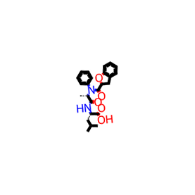 CC(C)C[C@H](NC(=O)[C@H](C)N(C(=O)C1Cc2ccccc2O1)c1ccccc1)C(=O)O